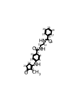 CC1=C(Nc2ccc(C(=O)NCCNC(=O)c3ccccc3)cc2)CCC1=O